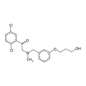 CN(CC(=O)c1cc(Cl)ccc1Cl)Cc1cccc(OCCCO)c1